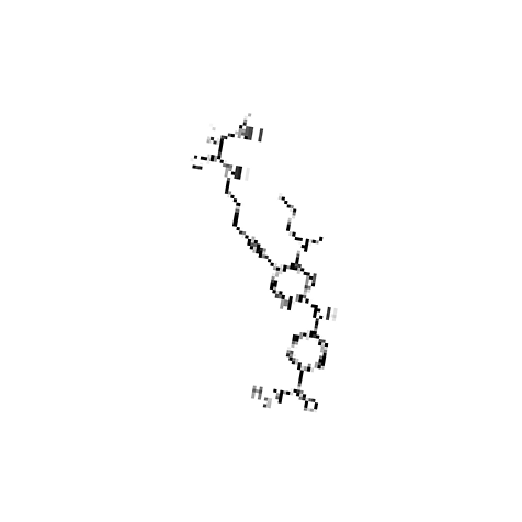 CCCN(C)c1nc(Nc2ccc(C(N)=O)cc2)ncc1C#CCCCNC(=O)[C@H](C)NC